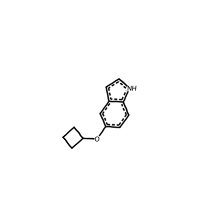 c1cc2cc(OC3CCC3)ccc2[nH]1